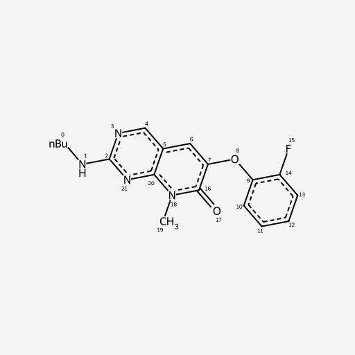 CCCCNc1ncc2cc(Oc3ccccc3F)c(=O)n(C)c2n1